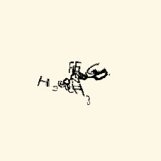 COc1ccc(C2CC(C(F)F)n3nc(-c4cc[c]cc4C)cc3N2)cc1OC